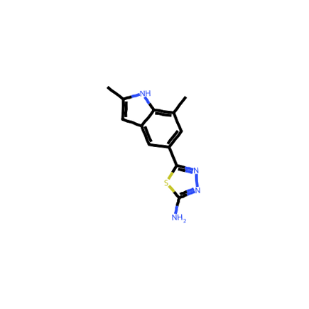 Cc1cc2cc(-c3nnc(N)s3)cc(C)c2[nH]1